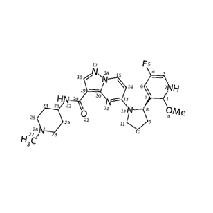 COC1NC=C(F)C=C1[C@H]1CCCN1c1ccn2ncc(C(=O)NC3CCN(C)CC3)c2n1